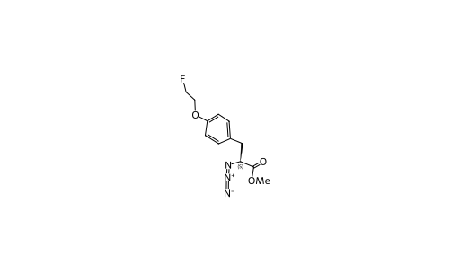 COC(=O)[C@H](Cc1ccc(OCCF)cc1)N=[N+]=[N-]